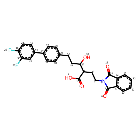 O=C(O)C(CCN1C(=O)c2ccccc2C1=O)C(O)CCc1ccc(-c2ccc(F)c(F)c2)cc1